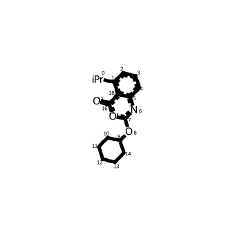 CC(C)c1cccc2nc(OC3CCCCC3)oc(=O)c12